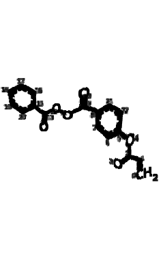 C=CC(=O)Oc1ccc(C(=O)OOC(=O)c2ccccc2)cc1